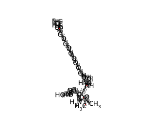 CCCN(CCC)C(=O)C1=Cc2c(CCCCN/C(=N/c3cccc(C#N)c3)NCCOCCOCCOCCOCCOCCOCCOCCOCCOCCOCCC(=O)Oc3c(F)c(F)cc(F)c3F)cc(-c3cccc(S(=O)(=O)N4CC(CO)C4)c3)cc2N=C(N)C1